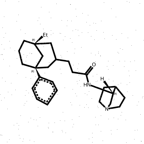 CC[C@@]12CCC[C@@](c3ccccc3)(CC(CCC(=O)N[C@H]3CN4CCC3CC4)C1)C2